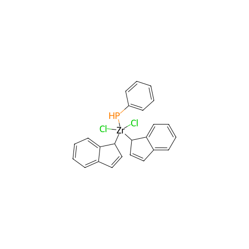 [Cl][Zr]([Cl])([PH]c1ccccc1)([CH]1C=Cc2ccccc21)[CH]1C=Cc2ccccc21